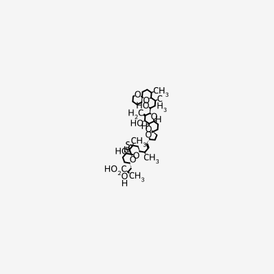 C=C1[C@@H](O)[C@@H]2O[C@]3(CC[C@H](/C=C/[C@@H](C)[C@@H]4C[C@@]5(C)S[C@H]5[C@@]5(O[C@H](C[C@@](C)(O)C(=O)O)CC[C@H]5O)O4)O3)CC[C@H]2O[C@@H]1C(O)C[C@H](C)[C@H]1O[C@@]2(CCCCO2)CC[C@H]1C